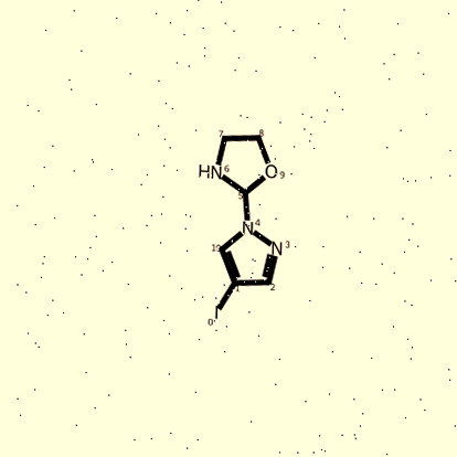 Ic1cnn(C2NCCO2)c1